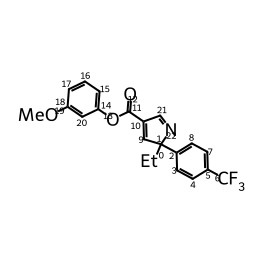 CCC1(c2ccc(C(F)(F)F)cc2)C=C(C(=O)Oc2cccc(OC)c2)C=N1